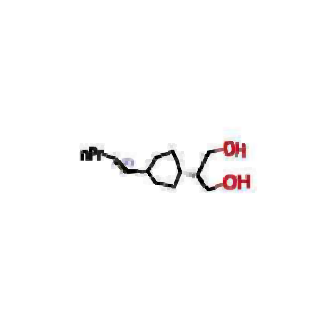 CCC/C=C/[C@H]1CC[C@H](C(CO)CO)CC1